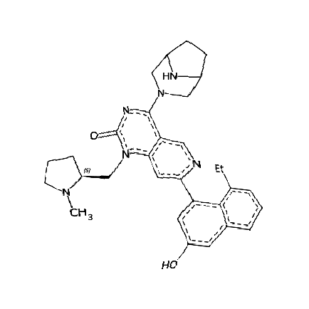 CCc1cccc2cc(O)cc(-c3cc4c(cn3)c(N3CC5CCC(C3)N5)nc(=O)n4C[C@@H]3CCCN3C)c12